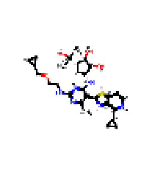 Cc1nc(NCCOCC2CC2)nc(N[C@@H]2C[C@H](C(C)(C)O)[C@@H](O)[C@H]2O)c1-c1nc2c(C3CC3)nccc2s1